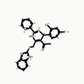 CC(=O)C1=C(CSc2nc3ccccc3[nH]2)NC(c2ccccn2)=NC1c1ccc(F)cc1Cl